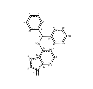 c1ccc(C(Sc2ncnc3[nH]cnc23)c2ccccc2)cc1